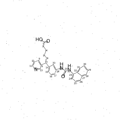 O=C(O)CCCC=C(c1cccnc1)c1cccc(NC(=O)Nc2cccc3ccccc23)c1